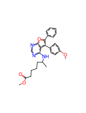 COC(=O)CCCCC(C)Nc1ncnc2oc(-c3ccccc3)c(-c3ccc(OC)cc3)c12